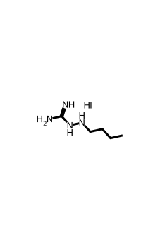 CCCCNNC(=N)N.I